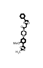 COc1cc(N2CCN(C(=O)Cc3nc(-c4ccccc4)co3)CC2)ccc1-c1cnc(C)o1